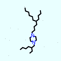 CCCCCCC(CCCC)CCCCN1CCN(CC(CC)CCCC)CC1